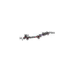 CCCCCCC(=O)Oc1ccc(OC(=O)/C=C/c2ccc(C(=O)OCCCCCCCCCCCOC(=O)c3cc(N)cc(N)c3)cc2)cc1